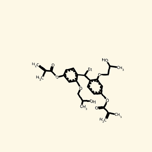 C=C(C)C(=O)Oc1ccc(C(CC)c2ccc(OC(=O)C(=C)C)cc2OCC(C)O)c(OCC(C)O)c1